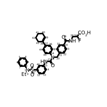 CCN(c1ccccc1)S(=O)(=O)c1cccc(NC(=O)N(Cc2ccc(C(=O)NCC(F)C(=O)O)cc2)c2ccc(C3=CCCCC3)cc2)c1